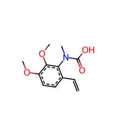 C=Cc1ccc(OC)c(OC)c1N(C)C(=O)O